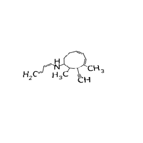 C#CC1/C(C)=C\C=C/CCC(N/C=C\C=C)C1C